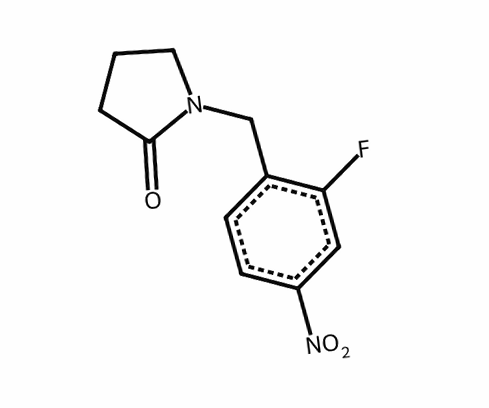 O=C1CCCN1Cc1ccc([N+](=O)[O-])cc1F